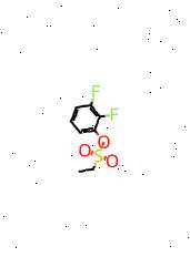 CCS(=O)(=O)Oc1cccc(F)c1F